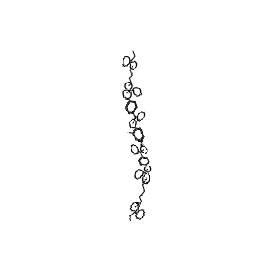 CCC(=O)OCCCCOC(=O)Oc1ccc(C(=O)Oc2ccc(OC(=O)c3ccc(OC(=O)OCCCCOC(=O)CC)cc3)c(C)c2)cc1